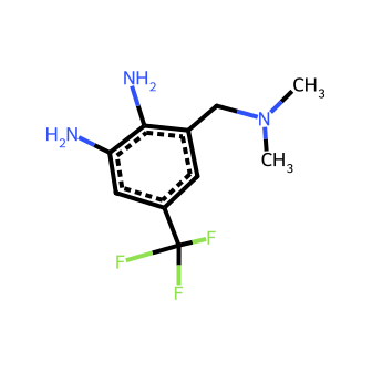 CN(C)Cc1cc(C(F)(F)F)cc(N)c1N